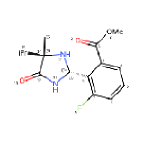 COC(=O)c1cccc(F)c1[C@@H]1NC(=O)[C@@](C)(C(C)C)N1